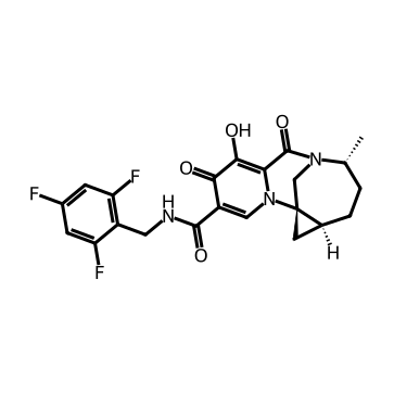 C[C@@H]1CC[C@H]2C[C@@]23CN1C(=O)c1c(O)c(=O)c(C(=O)NCc2c(F)cc(F)cc2F)cn13